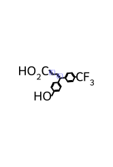 O=C(O)/C=C/C=C(\c1ccc(CO)cc1)c1ccc(C(F)(F)F)cc1